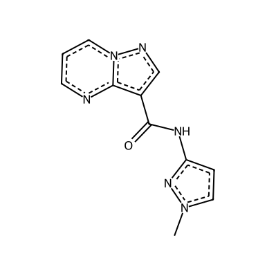 Cn1ccc(NC(=O)c2cnn3cccnc23)n1